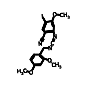 COc1ccc(CN=C=Nc2cc(OC)c(I)cc2C#N)c(OC)c1